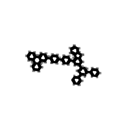 c1ccc(-c2nc(-c3ccccc3)nc(-c3cc(-c4ccc(-c5ccc(-c6ccc7c8ccccc8c8ccccc8c7c6)cc5)cc4)c4c(c3)sc3ccccc34)n2)cc1